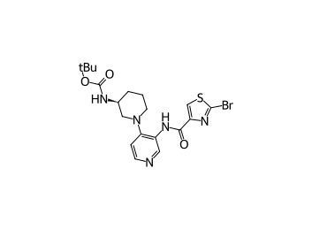 CC(C)(C)OC(=O)N[C@H]1CCCN(c2ccncc2NC(=O)c2csc(Br)n2)C1